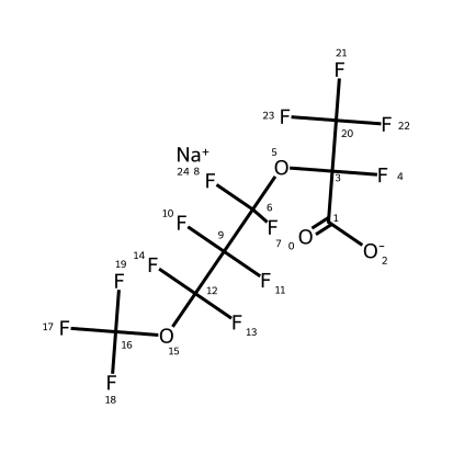 O=C([O-])C(F)(OC(F)(F)C(F)(F)C(F)(F)OC(F)(F)F)C(F)(F)F.[Na+]